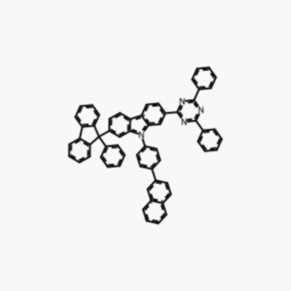 c1ccc(-c2nc(-c3ccccc3)nc(-c3ccc4c5ccc(C6(c7ccccc7)c7ccccc7-c7ccccc76)cc5n(-c5ccc(-c6ccc7ccccc7c6)cc5)c4c3)n2)cc1